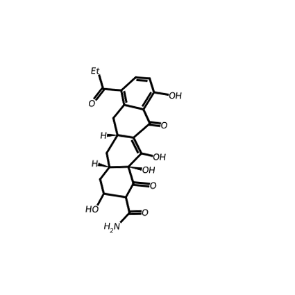 CCC(=O)c1ccc(O)c2c1C[C@H]1C[C@H]3CC(O)C(C(N)=O)C(=O)[C@@]3(O)C(O)=C1C2=O